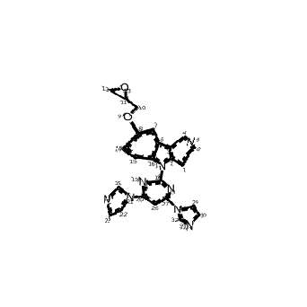 c1cc2c(cn1)c1cc(OCC3CO3)ccc1n2-c1nc(-n2ccnc2)cc(-n2ccnc2)n1